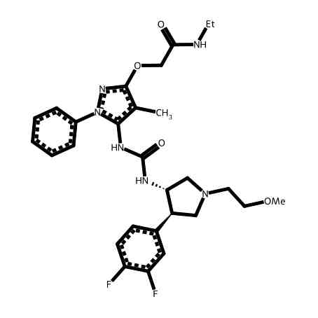 CCNC(=O)COc1nn(-c2ccccc2)c(NC(=O)N[C@@H]2CN(CCOC)C[C@H]2c2ccc(F)c(F)c2)c1C